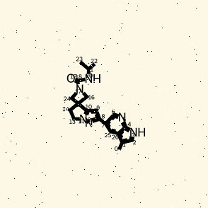 Cc1c[nH]c2ncc(-c3cc4n(n3)CCC43CN(C(=O)NC(C)C)C3)cc12